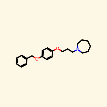 c1ccc(COc2ccc(OCCCN3CCCCCC3)cc2)cc1